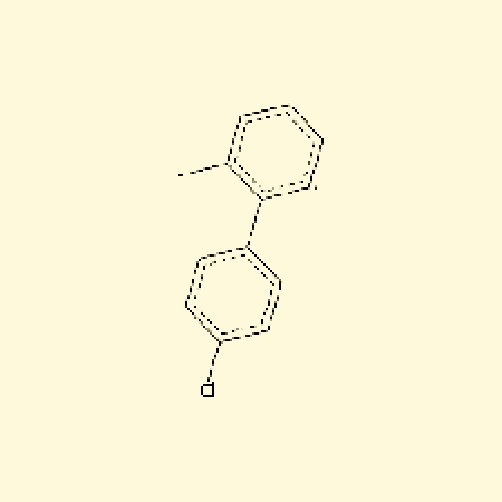 Cc1ccc[c]c1-c1ccc(Cl)cc1